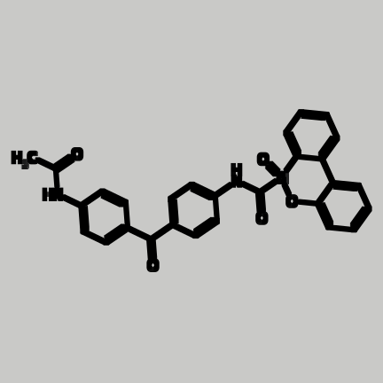 CC(=O)Nc1ccc(C(=O)c2ccc(N[C](=O)[Bi]3(=[O])[O]c4ccccc4-c4cccc[c]43)cc2)cc1